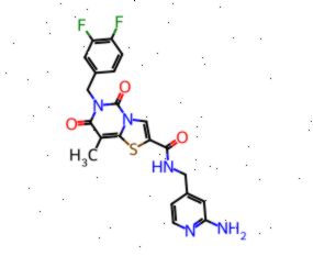 Cc1c(=O)n(Cc2ccc(F)c(F)c2)c(=O)n2cc(C(=O)NCc3ccnc(N)c3)sc12